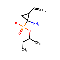 C=CC1CC1(N)P(=O)(O)OC(C)CC